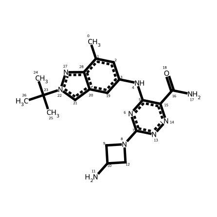 Cc1cc(Nc2nc(N3CC(N)C3)nnc2C(N)=O)cc2cn(C(C)(C)C)nc12